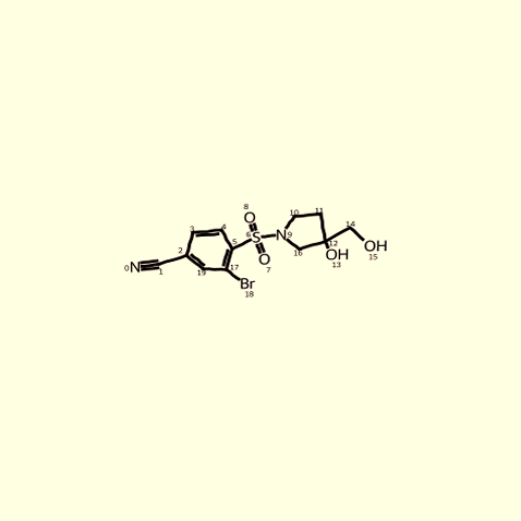 N#Cc1ccc(S(=O)(=O)N2CCC(O)(CO)C2)c(Br)c1